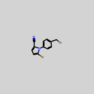 N#Cc1ccc(Br)n1-c1ccc(CBr)cc1